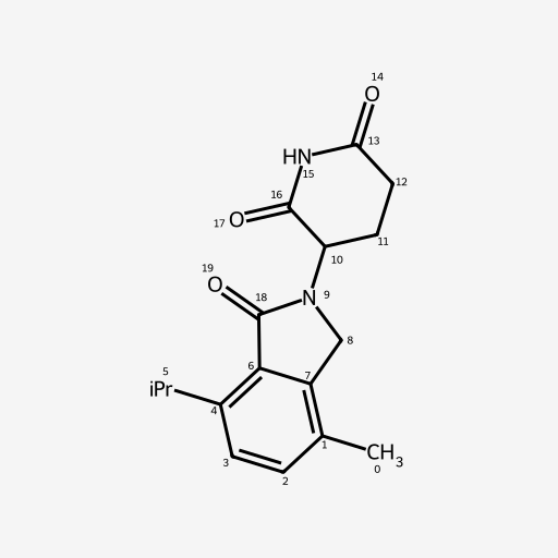 Cc1ccc(C(C)C)c2c1CN(C1CCC(=O)NC1=O)C2=O